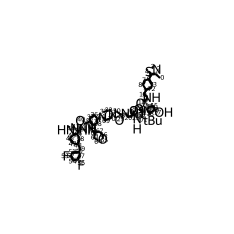 Cc1ncsc1-c1ccc(CNC(=O)[C@@H]2C[C@@H](O)CN2C(=O)C(NC(=O)CNC(=O)CN2CCN(c3ccc(C(=O)Nc4n[nH]c5ccc(Cc6cc(F)cc(F)c6)cc45)c(NC4CCOCC4)c3)CC2)C(C)(C)C)cc1